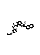 CNc1cc(N(C)C(=O)Nc2cc(C(=O)Nc3ccc4ccccc4c3)ccc2C)ncn1